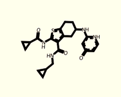 O=C(NCC1CC1)c1c(NC(=O)C2CC2)sc2c1CC(Nc1cc(=O)cc[nH]1)CC2